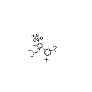 CCC(CC)Cn1c(-c2cc(C(C)(C)C)cc(C3(C)CC3)c2)cc(S(N)(=O)=O)c1C